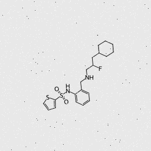 O=S(=O)(Nc1ccccc1CNCC(F)CC1CCCCC1)c1cccs1